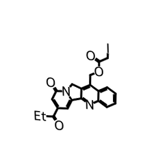 CCC(=O)c1cc2n(c(=O)c1)Cc1c-2nc2ccccc2c1COC(=O)CI